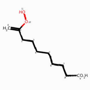 C=C(CCCCCCCC(=O)O)OO